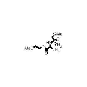 COCCOC(=O)C(C)NP(C)(=O)COC